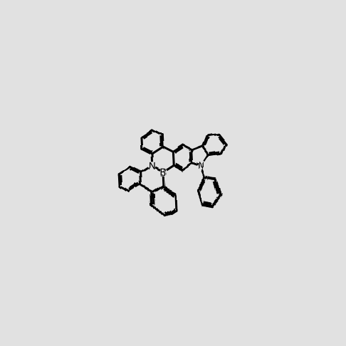 c1ccc(-n2c3ccccc3c3cc4c(cc32)B2c3ccccc3-c3ccccc3N2c2ccccc2-4)cc1